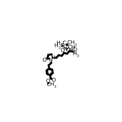 CCCCC(CCCN1CCC(=O)N1CCc1ccc(C(=O)OC)cc1)O[Si](C)(C)C(C)(C)C